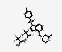 Cc1ccc(S(=O)(=O)n2ccc3c(CN4CCNC(C)C4)cccc32)cc1.O=C(O)C(F)(F)F.O=C(O)C(F)(F)F